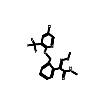 CNC(=O)C(=NOC)c1ccccc1COc1ncc(Cl)cc1C(F)(F)F